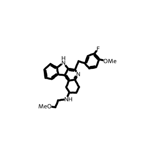 COCCNC1CCc2nc(Cc3ccc(OC)c(F)c3)c3[nH]c4ccccc4c3c2C1